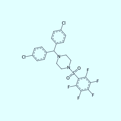 O=S(=O)(c1c(F)c(F)c(F)c(F)c1F)N1CCN(C(c2ccc(Cl)cc2)c2ccc(Cl)cc2)CC1